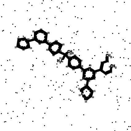 C=C/C=C(\C=C/C)c1cc(-c2ccccc2)nc(-c2ccc(C(C)(C)c3ccc(-c4cccc(-c5ccccc5)c4)cc3)cc2)n1